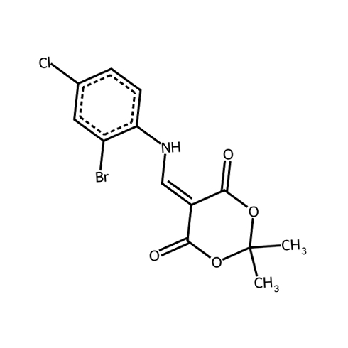 CC1(C)OC(=O)C(=CNc2ccc(Cl)cc2Br)C(=O)O1